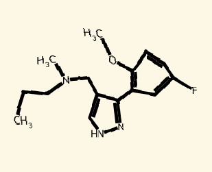 CCCN(C)Cc1c[nH]nc1-c1cc(F)ccc1OC